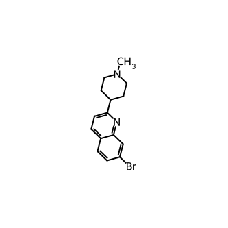 CN1CCC(c2ccc3ccc(Br)cc3n2)CC1